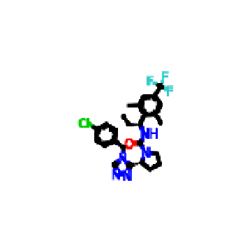 CC[C@H](NC(=O)N1CCC[C@@H]1c1nncn1Cc1ccc(Cl)cc1)c1c(C)cc(C(F)(F)F)cc1C